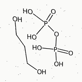 O=P(O)(O)OP(=O)(O)O.OCCCO